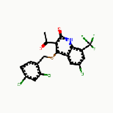 CC(=O)c1c(SCc2ccc(Cl)cc2Cl)c2cc(Cl)cc(C(F)(F)F)c2[nH]c1=O